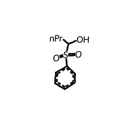 CCCC(O)S(=O)(=O)c1ccccc1